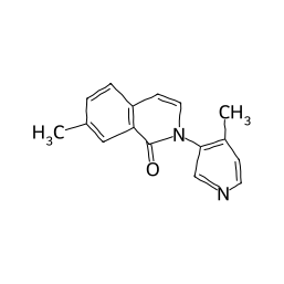 Cc1ccc2ccn(-c3cnccc3C)c(=O)c2c1